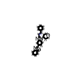 C(=C\c1nc2cc(-c3nc4ccccc4o3)ccc2n1C1CCOCC1)/c1ccccc1